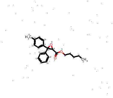 CCCCCOC(=O)C1OC1(c1ccccc1)c1ccc(C)cc1